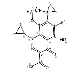 COc1c(C2(N)CC2)c(F)cc2c(=O)c(C(=O)O)cn(C3CC3)c12.Cl